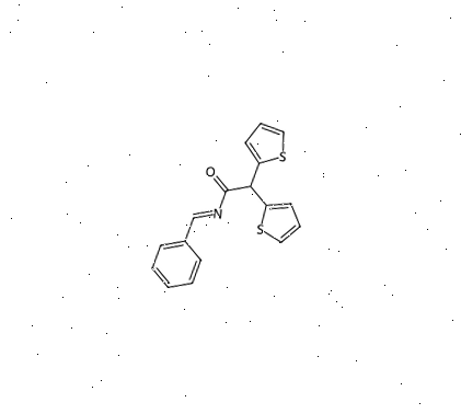 O=C(N=Cc1ccccc1)C(c1cccs1)c1cccs1